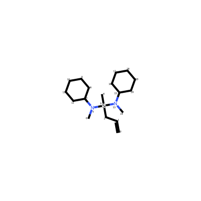 C=CC[Si](C)(N(C)C1CCCCC1)N(C)C1CCCCC1